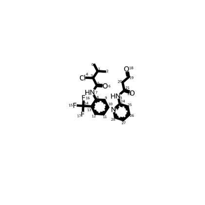 CC(C)C(Cl)C(=O)Nc1ccccc1C(F)(F)F.O=CCC(=O)Nc1ccccn1